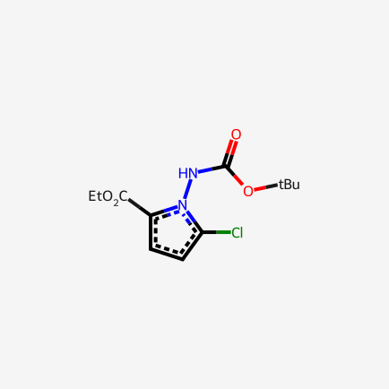 CCOC(=O)c1ccc(Cl)n1NC(=O)OC(C)(C)C